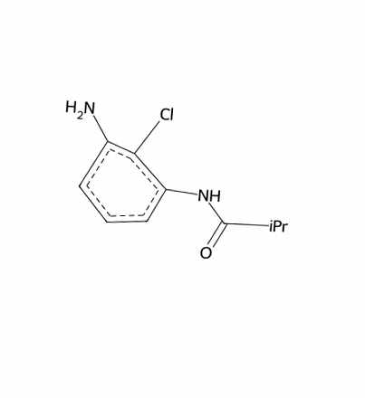 CC(C)C(=O)Nc1cccc(N)c1Cl